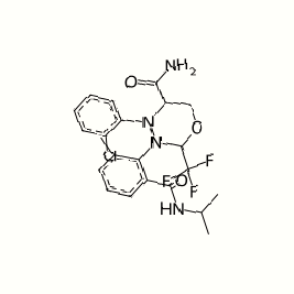 Cc1cccc(C(=O)NC(C)C)c1N1C(C(F)(F)F)OCC(C(N)=O)N1c1ccccc1Cl